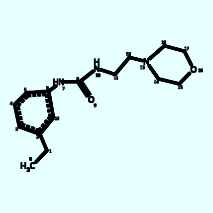 CCc1cccc(NC(=O)NCCN2CCOCC2)c1